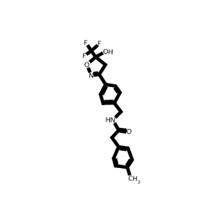 Cc1ccc(CC(=O)NCc2ccc(C3=NOC(O)(C(F)(F)F)C3)cc2)cc1